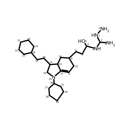 NNC(N)NC(O)CCC1CC=C2C(C1)C(CCC1CCCCC1)CN2C1CCCCC1